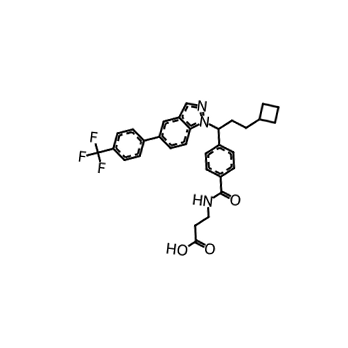 O=C(O)CCNC(=O)c1ccc(C(CCC2CCC2)n2ncc3cc(-c4ccc(C(F)(F)F)cc4)ccc32)cc1